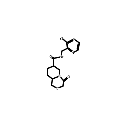 O=C(NCc1nccnc1Cl)C1CCC2COCC(=O)N2C1